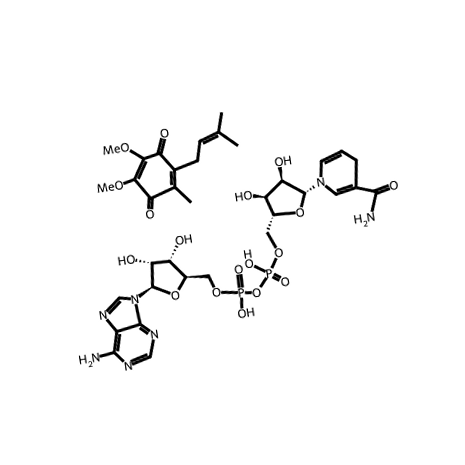 COC1=C(OC)C(=O)C(CC=C(C)C)=C(C)C1=O.NC(=O)C1=CN([C@@H]2O[C@H](COP(=O)(O)OP(=O)(O)OC[C@H]3O[C@@H](n4cnc5c(N)ncnc54)[C@H](O)[C@@H]3O)[C@@H](O)[C@H]2O)C=CC1